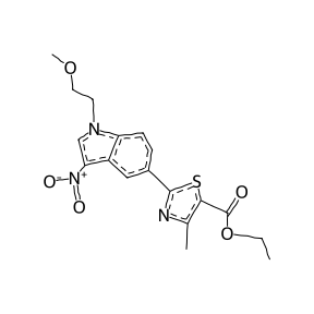 CCOC(=O)c1sc(-c2ccc3c(c2)c([N+](=O)[O-])cn3CCOC)nc1C